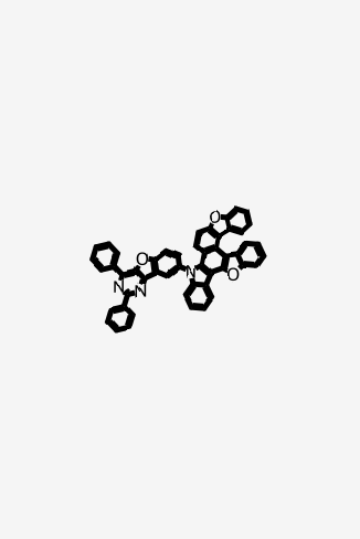 c1ccc(-c2nc(-c3ccccc3)c3oc4ccc(-n5c6ccccc6c6c7oc8ccccc8c7c7c(ccc8oc9ccccc9c87)c65)cc4c3n2)cc1